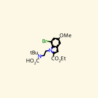 CCOC(=O)c1cc2cc(OC)cc(Br)c2n1CCN(C(=O)O)C(C)(C)C